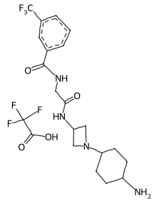 NC1CCC(N2CC(NC(=O)CNC(=O)c3cccc(C(F)(F)F)c3)C2)CC1.O=C(O)C(F)(F)F